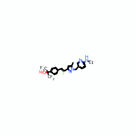 CCNc1ccc(Cn2nc(/C(F)=C/c3ccc(C(O)(C(F)(F)F)C(F)(F)F)cc3)cc2C)cn1